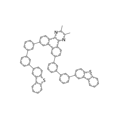 Cc1nc2c3ccc(-c4cccc(-c5cccc(-c6ccc7sc8ccccc8c7c6)c5)c4)cc3c3cc(-c4cccc(-c5cccc(-c6ccc7sc8ccccc8c7c6)c5)c4)ccc3c2nc1C